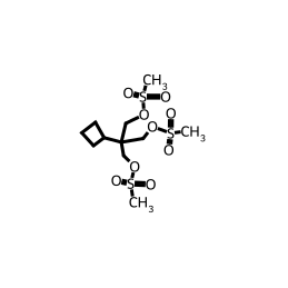 CS(=O)(=O)OCC(COS(C)(=O)=O)(COS(C)(=O)=O)C1CCC1